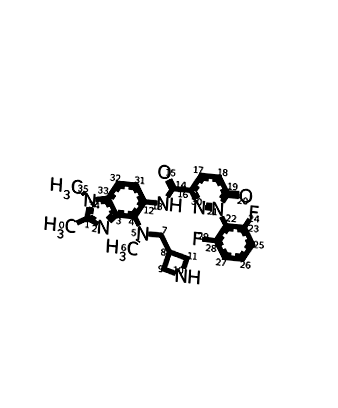 Cc1nc2c(N(C)CC3CNC3)c(NC(=O)c3ccc(=O)n(-c4c(F)cccc4F)n3)ccc2n1C